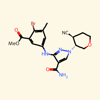 COC(=O)c1cc(Nc2nn([C@H]3COCC[C@@H]3C#N)cc2C(N)=O)cc(C)c1Br